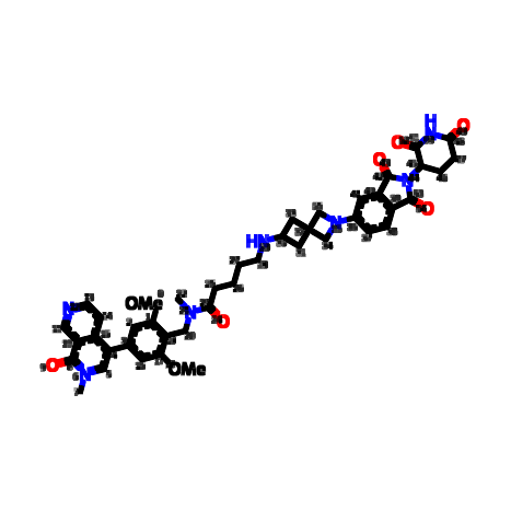 COc1cc(-c2cn(C)c(=O)c3cnccc23)cc(OC)c1CN(C)C(=O)CCCCNC1CC2(C1)CN(c1ccc3c(c1)C(=O)N(C1CCC(=O)NC1=O)C3=O)C2